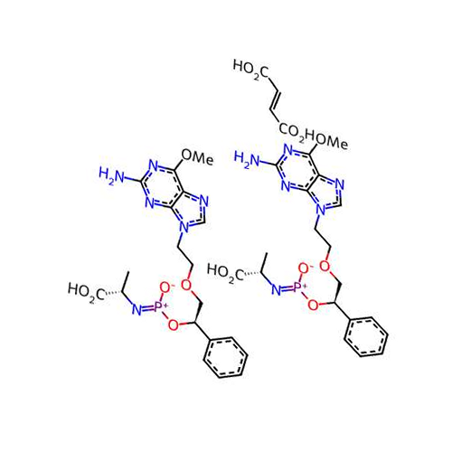 COc1nc(N)nc2c1ncn2CCOC[C@H](O[P+]([O-])=N[C@@H](C)C(=O)O)c1ccccc1.COc1nc(N)nc2c1ncn2CCOC[C@H](O[P+]([O-])=N[C@@H](C)C(=O)O)c1ccccc1.O=C(O)/C=C/C(=O)O